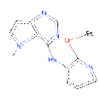 CCOc1ncccc1Nc1ncnc2ccn(C)c12